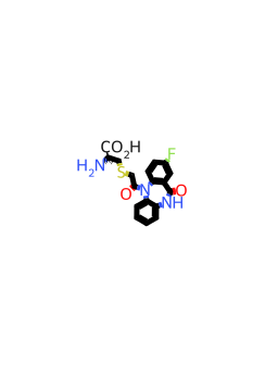 N[C@@H](CSCC(=O)N1c2ccccc2NC(=O)c2cc(F)ccc21)C(=O)O